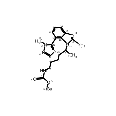 CC(CCCCNC(=O)OC(C)(C)C)n1c(N)nc2cccc(-c3ncnn3C)c21